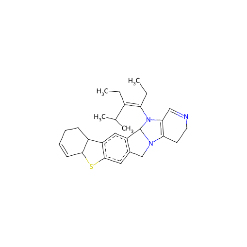 CC/C(=C(\CC)N1C2=C(CCN=C2)N2Cc3cc4c(cc3C21)C1CCC=CC1S4)C(C)C